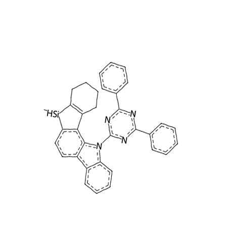 C[SiH]1C2=C(CCCC2)c2c1ccc1c3ccccc3n(-c3nc(-c4ccccc4)nc(-c4ccccc4)n3)c21